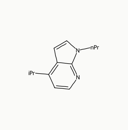 CCCn1ccc2c(C(C)C)ccnc21